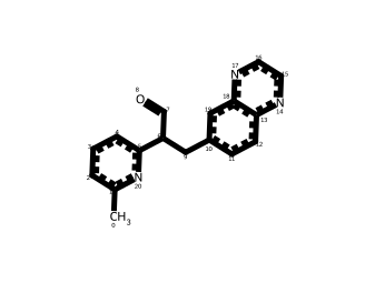 Cc1cccc(C(C=O)Cc2ccc3nccnc3c2)n1